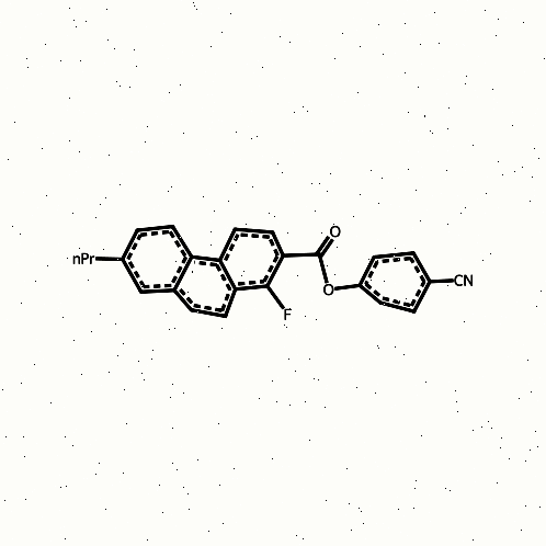 CCCc1ccc2c(ccc3c(F)c(C(=O)Oc4ccc(C#N)cc4)ccc32)c1